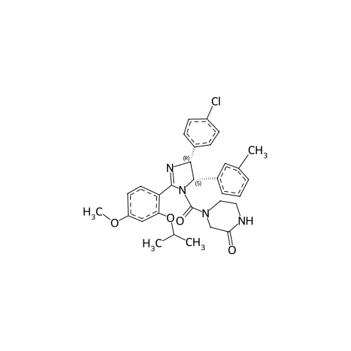 COc1ccc(C2=N[C@H](c3ccc(Cl)cc3)[C@H](c3cccc(C)c3)N2C(=O)N2CCNC(=O)C2)c(OC(C)C)c1